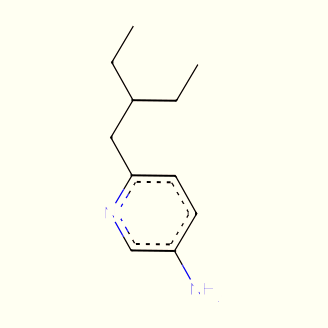 CCC(CC)Cc1ccc(N)cn1